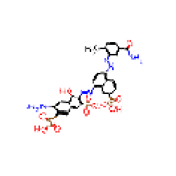 Cc1ccc(C(N)=O)cc1N=Nc1ccc(N=Nc2c(S(=O)(=O)O)cc3cc(S(=O)(=O)O)c(N)cc3c2O)c2cc(S(=O)(=O)O)ccc12